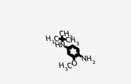 COc1cc(NC(C)(C)C)ccc1N